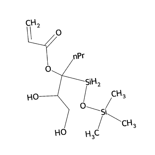 C=CC(=O)OC(CCC)([SiH2]O[Si](C)(C)C)C(O)CO